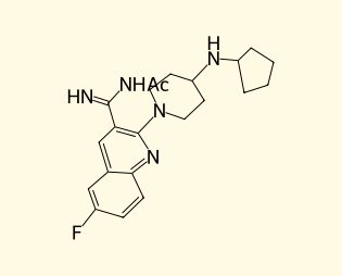 CC(=O)NC(=N)c1cc2cc(F)ccc2nc1N1CCC(NC2CCCC2)CC1